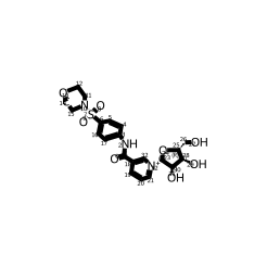 O=C(Nc1ccc(S(=O)(=O)N2CCOCC2)cc1)c1ccc[n+]([C@@H]2O[C@H](CO)[C@@H](O)[C@H]2O)c1